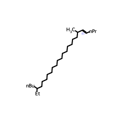 [CH2]CC/C=C/C(C)CCCCCCCCCCCCCCCC(CC)CCC[CH2]